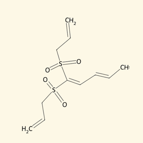 [CH]/C=C/C=C(S(=O)(=O)CC=C)S(=O)(=O)CC=C